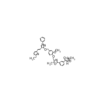 CCc1nc(C=Cc2cn(-c3ccccc3)nc2OCc2ccc(OCc3nc(-c4cccc(C(=O)NS(C)(=O)=O)c4)oc3C)c(OC)c2)cs1